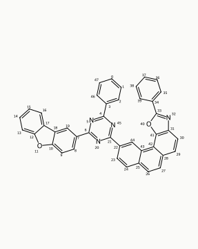 c1ccc(-c2nc(-c3ccc4oc5ccccc5c4c3)nc(-c3ccc4ccc5ccc6nc(-c7ccccc7)oc6c5c4c3)n2)cc1